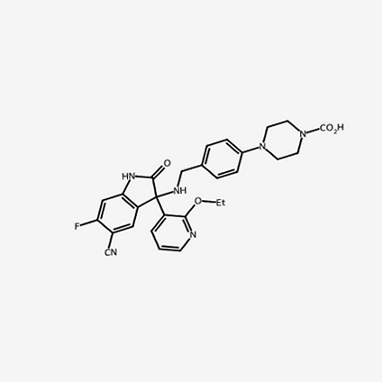 CCOc1ncccc1C1(NCc2ccc(N3CCN(C(=O)O)CC3)cc2)C(=O)Nc2cc(F)c(C#N)cc21